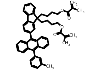 C=C(C)C(=O)OCCCCC1(CCCCOC(=O)C(=C)C)c2ccccc2-c2ccc(-c3c4ccccc4c(-c4cccc(C)c4)c4ccccc34)cc21